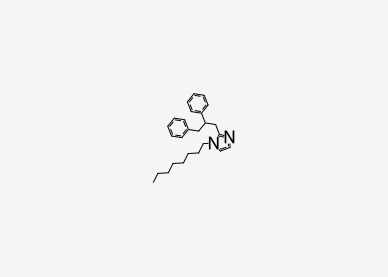 CCCCCCCCn1ccnc1CC(Cc1ccccc1)c1ccccc1